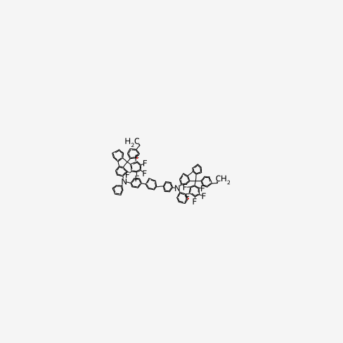 C=Cc1ccc(C2(c3c(F)c(F)c(F)c(F)c3F)c3ccccc3-c3ccc(N(c4ccccc4)c4ccc(-c5ccc(-c6ccc(N(c7ccccc7)c7ccc8c(c7)C(c7ccc(C=C)cc7)(c7c(F)c(F)c(F)c(F)c7F)c7ccccc7-8)cc6)cc5)cc4)cc32)cc1